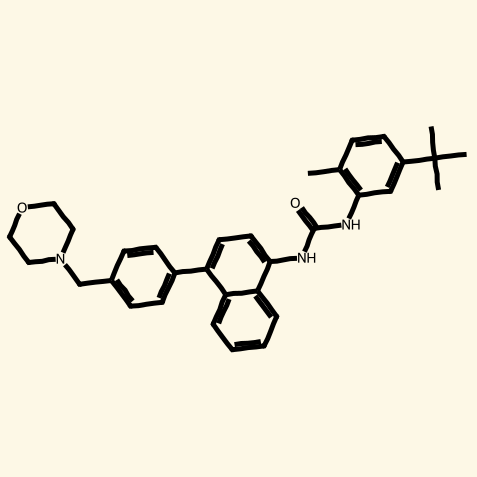 Cc1ccc(C(C)(C)C)cc1NC(=O)Nc1ccc(-c2ccc(CN3CCOCC3)cc2)c2ccccc12